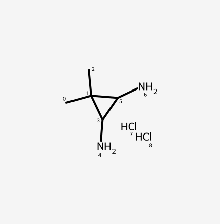 CC1(C)C(N)C1N.Cl.Cl